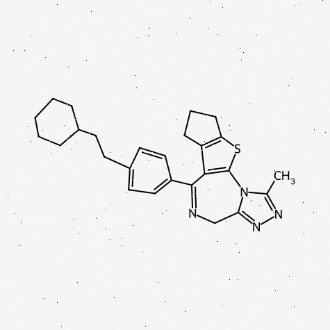 Cc1nnc2n1-c1sc3c(c1C(c1ccc(CCC4CCCCC4)cc1)=NC2)CCC3